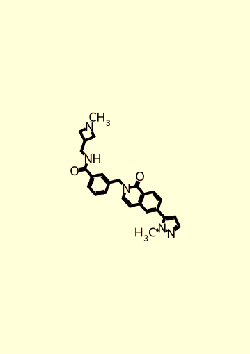 CN1CC(CNC(=O)c2cccc(Cn3ccc4cc(-c5ccnn5C)ccc4c3=O)c2)C1